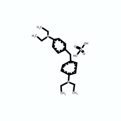 CCN(CC)c1ccc(Cc2ccc(N(CC)CC)cc2)cc1.O=S(=O)(O)O